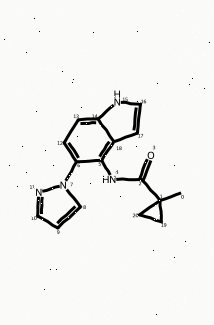 CC1(C(=O)Nc2c(-n3cccn3)ccc3[nH]ccc23)CC1